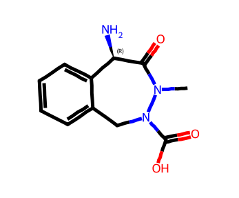 CN1C(=O)[C@H](N)c2ccccc2CN1C(=O)O